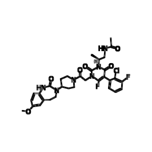 COc1ccc2c(c1)CCN(C1CCN(C(=O)Cn3c(F)c(-c4cccc(F)c4Cl)c(=O)n([C@@H](C)CNC(C)=O)c3=O)CC1)C(=O)N2